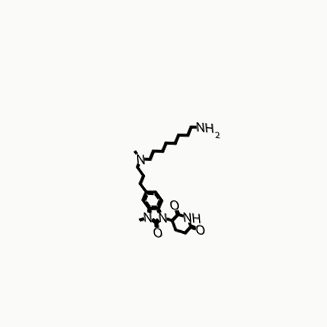 CN(CCCCCCCCN)CCCc1ccc2c(c1)n(C)c(=O)n2C1CCC(=O)NC1=O